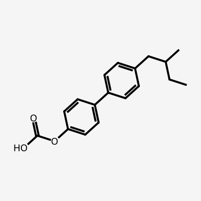 CCC(C)Cc1ccc(-c2ccc(OC(=O)O)cc2)cc1